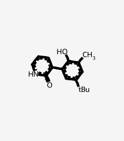 Cc1cc(C(C)(C)C)cc(-c2ccc[nH]c2=O)c1O